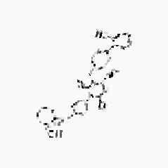 CCCc1nc(CC)n(-c2ccc(O[C@@H]3CCCC[C@H]3O)cc2)c(=O)c1Cc1ccc(-c2ccccc2C#N)cc1